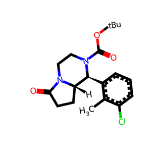 Cc1c(Cl)cccc1[C@H]1[C@@H]2CCC(=O)N2CCN1C(=O)OC(C)(C)C